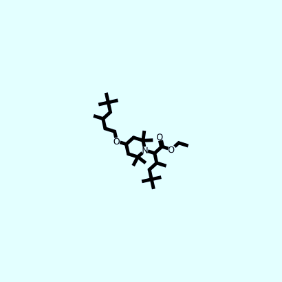 CCOC(=O)C(C(C)CC(C)(C)C)N1C(C)(C)CC(OCCC(C)CC(C)(C)C)CC1(C)C